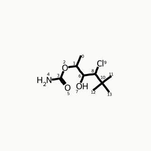 CC(OC(N)=O)C(O)C(Cl)C(C)(C)C